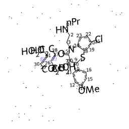 CCCNCCN1C(=O)[C@@H](OC(C)=O)[C@@H](c2ccc(OC)cc2)Sc2cc(Cl)ccc21.O=C(O)/C=C/C(=O)O.O=C(O)/C=C/C(=O)O